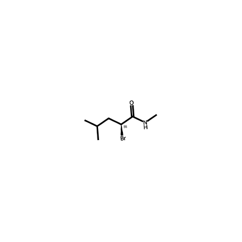 CNC(=O)[C@@H](Br)CC(C)C